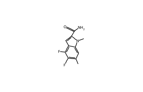 Cc1cc2c(cc(C(N)=O)n2C)c(F)c1F